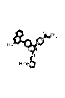 C=CC(=O)N1CCN(c2nc(OCC3CCCN3C)nc3c2CCC(c2cc(O)cc4ccccc24)C3)CC1